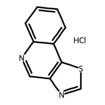 Cl.c1ccc2c(c1)ncc1ncsc12